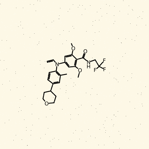 C=CN(c1cc(OC)c(C(=O)NCC(F)(F)F)c(OC)c1)c1ccc(C2CCOCC2)cc1C